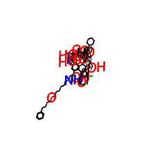 CCC(C(=O)OCC(=O)[C@@]12O[C@H](C3CCCCC3)O[C@H]1CC1C3CCC4=CC(=O)C=C[C@]4(C)C3[C@@H](O)C[C@@]12C)[N+](C)(C)Cc1cc(C(O)CNCCCCCCOCCCCc2ccccc2)ccc1OP(=O)(O)O.[Cl-]